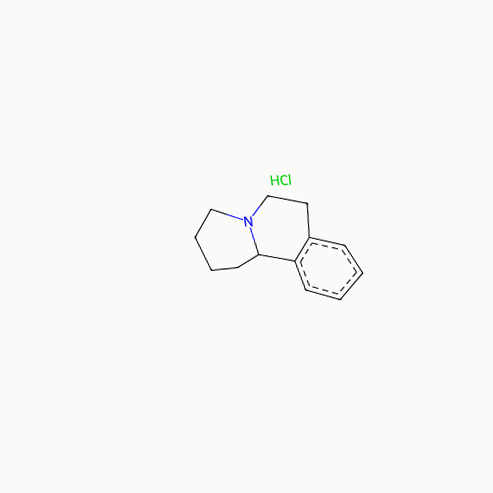 Cl.c1ccc2c(c1)CCN1CCCCC21